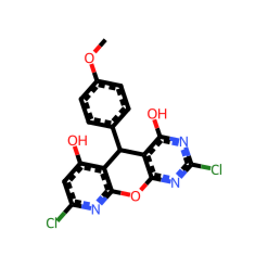 COc1ccc(C2c3c(O)cc(Cl)nc3Oc3nc(Cl)nc(O)c32)cc1